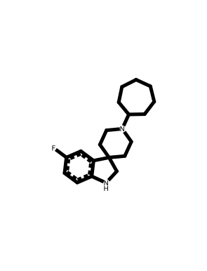 Fc1ccc2c(c1)C1(CCN(C3CCCCCC3)CC1)CN2